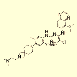 COc1cc(N2CCC3(CC2)CN(CCN(C)C)C3)c(C)cc1Nc1ncc(Cl)c(Nc2ccc3nccnc3c2P(C)C)n1